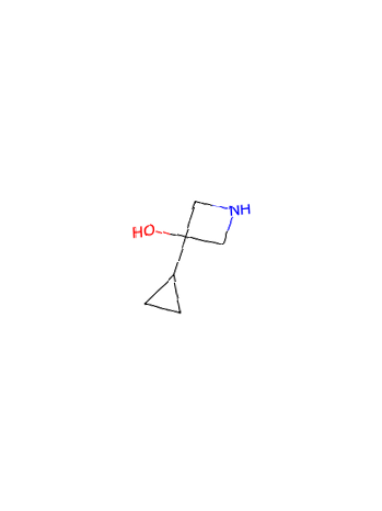 OC1(C2CC2)CNC1